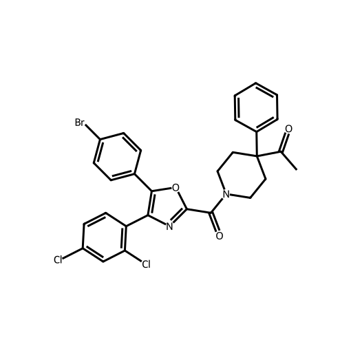 CC(=O)C1(c2ccccc2)CCN(C(=O)c2nc(-c3ccc(Cl)cc3Cl)c(-c3ccc(Br)cc3)o2)CC1